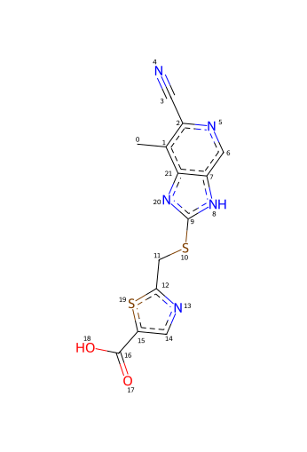 Cc1c(C#N)ncc2[nH]c(SCc3ncc(C(=O)O)s3)nc12